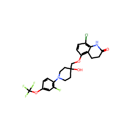 O=C1CCc2c(OCC3(O)CCN(c4ccc(OC(F)(F)F)cc4F)CC3)ccc(Cl)c2N1